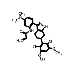 C=CC(=O)Nc1cc(N(C)C)ccc1-c1n[nH]c2c1CCC(c1c(Cl)c(OC)cc(OC)c1Cl)C2